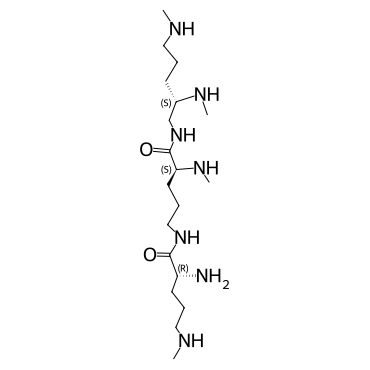 CNCCC[C@@H](CNC(=O)[C@H](CCCNC(=O)[C@H](N)CCCNC)NC)NC